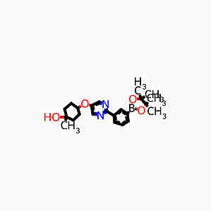 CC1(O)CCC(Oc2cnc(-c3cccc(B4OC(C)(C)C(C)(C)O4)c3)nc2)CC1